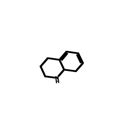 C1=CCC2NCCCC2=C1